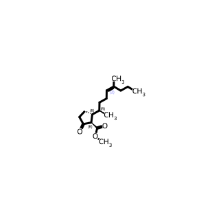 CCC/C(C)=C\CC[C@@H](C)[C@H]1CCC(=O)[C@@H]1C(=O)OC